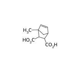 CC12C=CC(C1)C(C(=O)O)C2C(=O)O